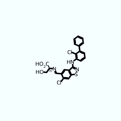 O=C(O)[C@H](CO)N=Cc1cc2c(Nc3cccc(-c4ccccc4)c3Cl)nsc2cc1Cl